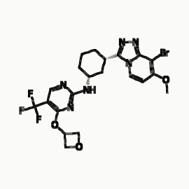 COc1ccn2c([C@H]3CCC[C@@H](Nc4ncc(C(F)(F)F)c(OC5COC5)n4)C3)nnc2c1Br